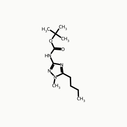 CCCCc1nc(NC(=O)OC(C)(C)C)nn1C